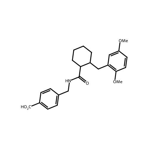 COc1ccc(OC)c(CC2CCCCC2C(=O)NCc2ccc(C(=O)O)cc2)c1